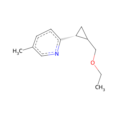 CCOCC1C[C@H]1c1ccc(C)cn1